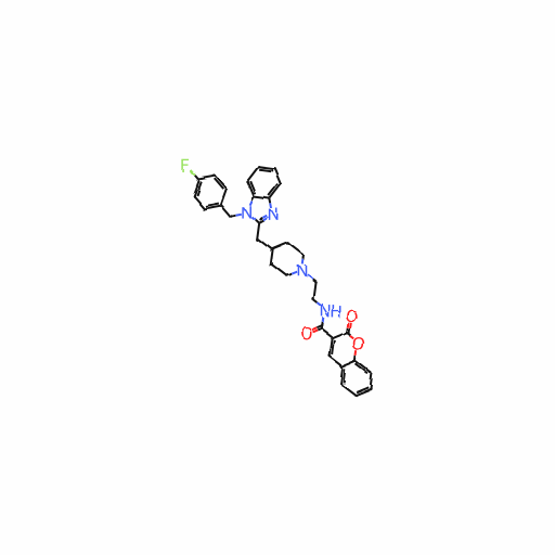 O=C(NCCN1CCC(Cc2nc3ccccc3n2Cc2ccc(F)cc2)CC1)c1cc2ccccc2oc1=O